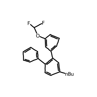 CCCCc1ccc(-c2ccccc2)c(-c2cccc(OC(F)F)c2)c1